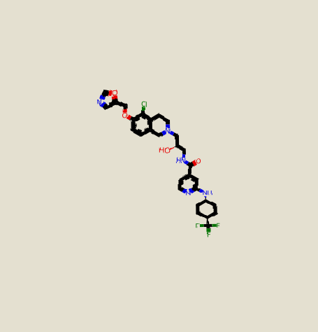 O=C(NC[C@H](O)CN1CCc2c(ccc(OCc3cnco3)c2Cl)C1)c1ccnc(N[C@H]2CC[C@H](C(F)(F)F)CC2)c1